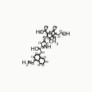 C[C@H]1C(S[C@@H]2CN[C@H](C(O)Cc3ccc(CN)c4ccccc34)C2)=C(C(=O)O)N2C(=O)[C@@H](CCO)[C@@H]12